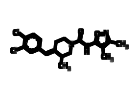 Cc1noc(NC(=O)N2CCC(=Cc3ccc(Cl)c(Cl)c3)C(C)C2)c1C